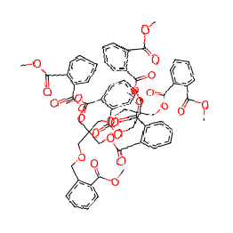 COC(=O)c1ccccc1COCC(COCC(COC(=O)c1ccccc1C(=O)OC)(COC(=O)c1ccccc1C(=O)OC)COC(=O)c1ccccc1C(=O)OC)(COC(=O)c1ccccc1C(=O)OC)COC(=O)c1ccccc1C(=O)OC